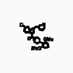 COc1cccc(OC)c1C1CCN(C(=O)c2cn(Cc3cccnc3)c3cc(Cl)ccc23)CC1